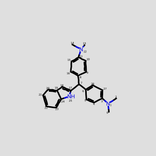 CN(C)c1ccc(C(c2ccc(N(C)C)cc2)c2cc3ccccc3[nH]2)cc1